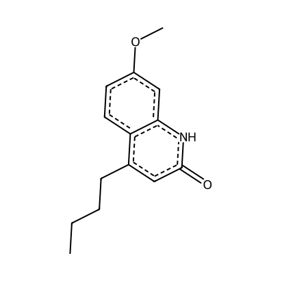 CCCCc1cc(=O)[nH]c2cc(OC)ccc12